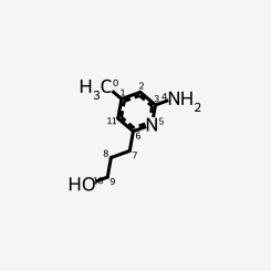 Cc1cc(N)nc(CCCO)c1